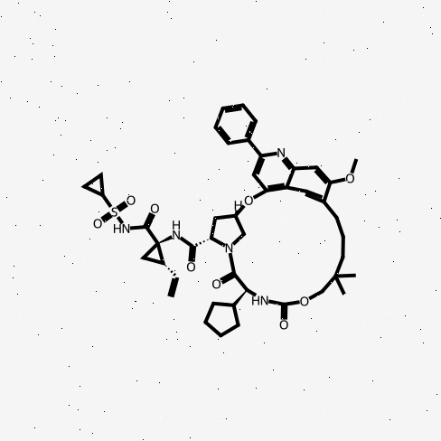 C=C[C@@H]1C[C@]1(NC(=O)[C@@H]1C[C@@H]2CN1C(=O)[C@H](C1CCCC1)NC(=O)OCC(C)(C)CCCc1cc3c(cc(-c4ccccc4)nc3cc1OC)O2)C(=O)NS(=O)(=O)C1CC1